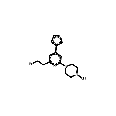 CC(C)CCc1cc(-c2ccsc2)cc(N2CCN(C)CC2)n1